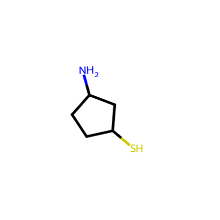 NC1CCC(S)C1